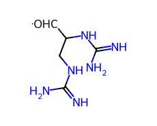 N=C(N)NCC([C]=O)NC(=N)N